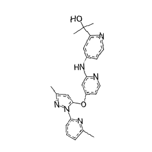 Cc1cccc(-n2nc(C)cc2Oc2ccnc(Nc3ccnc(C(C)(C)O)c3)c2)n1